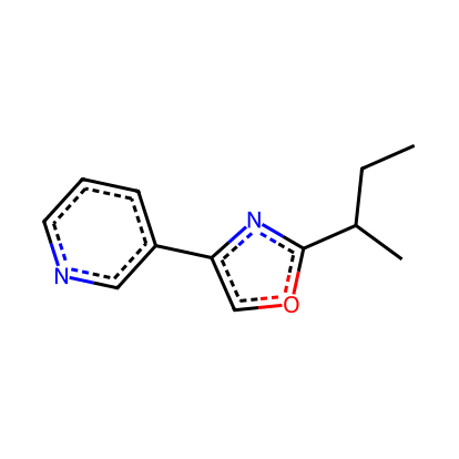 CCC(C)c1nc(-c2cccnc2)co1